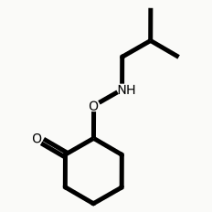 CC(C)CNOC1CCCCC1=O